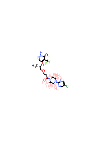 BC1(B)N(C(=O)CCOC[C@H](C)Oc2cn[nH]c(=O)c2C(F)(F)F)C(B)(B)C(B)(B)N(c2ncc(Cl)cn2)C1(B)B